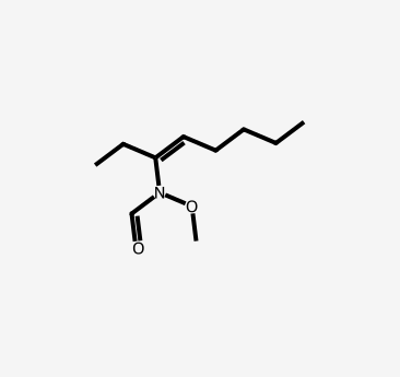 CCCCC=C(CC)N(C=O)OC